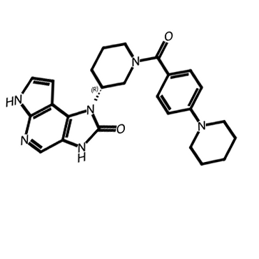 O=C(c1ccc(N2CCCCC2)cc1)N1CCC[C@@H](n2c(=O)[nH]c3cnc4[nH]ccc4c32)C1